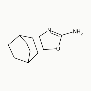 C1CC2CCC1CC2.NC1=NCCO1